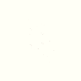 CCn1c(C)nc(N2CCc3ccsc3CC2)c([N+](=O)[O-])c1=O